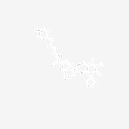 CCC1C(=O)N(C)c2cnc(Nc3ccc(C(=O)NCCCOC4CCNCC4)cc3OC)nc2N1C1CCCC1